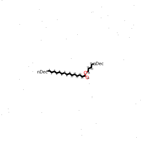 CCCCCCCCCCCCCCCCCCCCCCCCC(=O)OCCCCCCCCCCCCCC